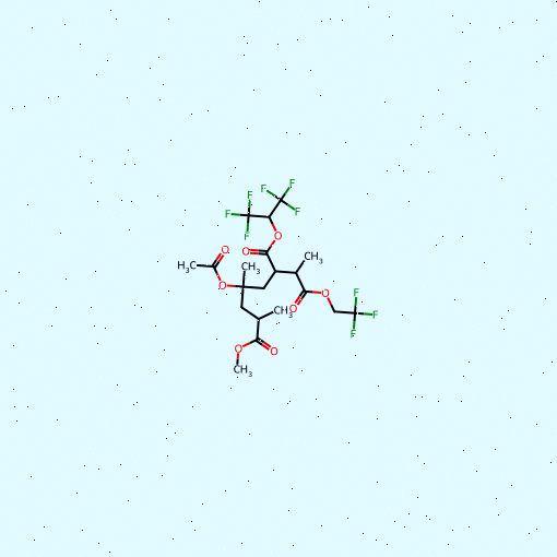 COC(=O)C(C)CC(C)(CC(C(=O)OC(C(F)(F)F)C(F)(F)F)C(C)C(=O)OCC(F)(F)F)OC(C)=O